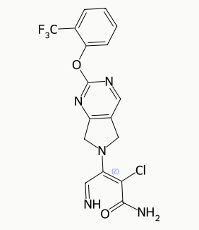 N=C/C(=C(/Cl)C(N)=O)N1Cc2cnc(Oc3ccccc3C(F)(F)F)nc2C1